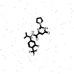 CC(C)[C@@H](NC(=O)c1cc(=O)[nH]c(N2CCCC2)n1)c1ccc(C(F)(F)F)c(F)c1